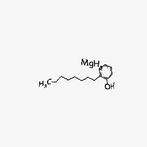 CCCCCCCCc1ccccc1O.[MgH2]